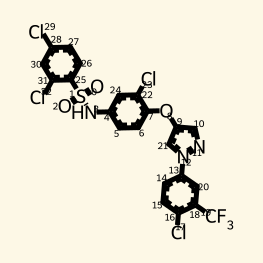 O=S(=O)(Nc1ccc(Oc2cnn(-c3ccc(Cl)c(C(F)(F)F)c3)c2)c(Cl)c1)c1ccc(Cl)cc1Cl